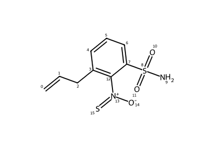 C=CCc1cccc(S(N)(=O)=O)c1[N+]([O-])=S